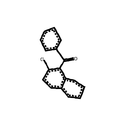 O=C(c1ccccc1)c1c(Cl)ccc2ccccc12